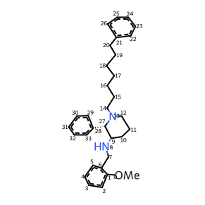 COc1ccccc1CN[C@H]1CCCN(CCCCCCCc2ccccc2)[C@H]1c1ccccc1